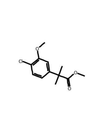 COC(=O)C(C)(C)c1ccc(Cl)c(OC)c1